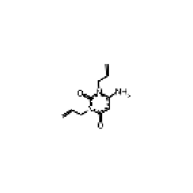 C=CCn1c(N)cc(=O)n(CC=C)c1=O